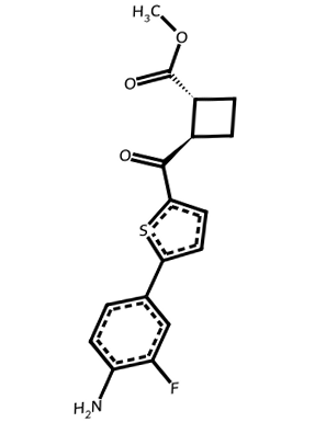 COC(=O)[C@@H]1CC[C@H]1C(=O)c1ccc(-c2ccc(N)c(F)c2)s1